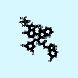 Cn1nc(NS(C)(=O)=O)c2c(Cl)ccc(-n3c(C(Cc4cc(F)cc(F)c4)NC(=O)Cc4c[nH]c5ccc(F)cc45)nc4ncccc4c3=O)c21